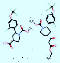 CCOC(=O)CC(=O)[C@@H]1CCN(C(=O)OC)[C@H](c2ccc(OC(F)(F)F)cc2F)C1.COC(=O)N1CCC(C(=O)O)CC1c1ccc(OC(F)(F)F)cc1F